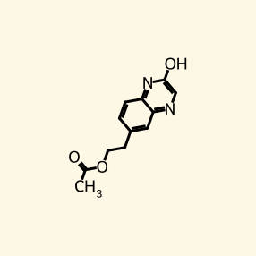 CC(=O)OCCc1ccc2nc(O)cnc2c1